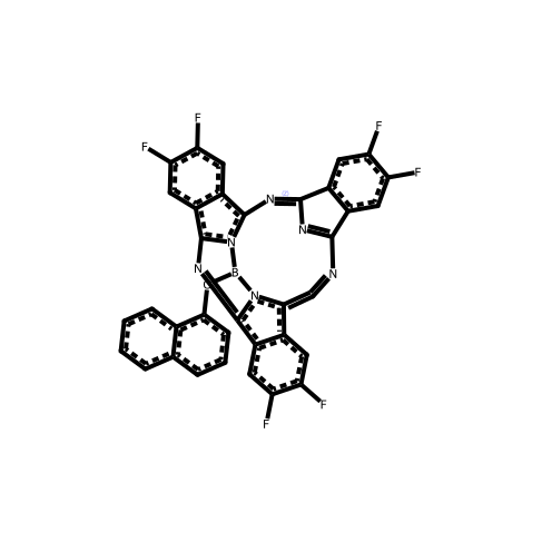 Fc1cc2c(cc1F)/C1=N/c3c4cc(F)c(F)cc4c4n3B(Oc3cccc5ccccc35)n3c(c5cc(F)c(F)cc5c3=N4)=C=NC2=N1